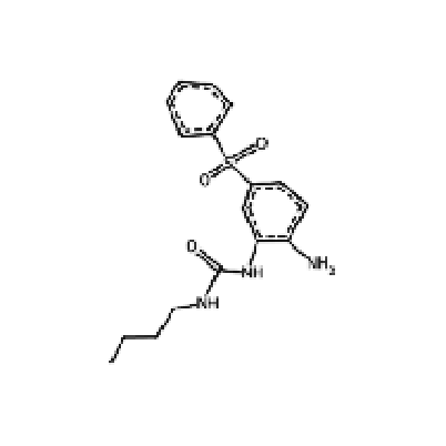 CCCCNC(=O)Nc1cc(S(=O)(=O)c2ccccc2)ccc1N